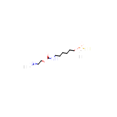 CNCCOC(=O)NCCCCCCOP(C)(=O)S